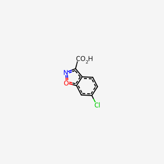 O=C(O)c1noc2cc(Cl)ccc12